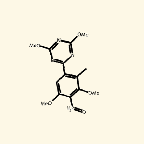 COc1nc(OC)nc(-c2cc(OC)c([PH2]=O)c(OC)c2C)n1